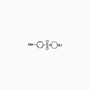 N#Cc1ccc(S(=O)(=O)N2CCNCC2)cc1